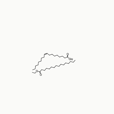 CCCCCCCC/C=C\CCCCCCCC(=O)O.CCCCCCCCCCCCCCCC(=O)OCC